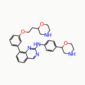 c1cc(OCCC2CNCCO2)cc(-c2cccc3cnc(Nc4ccc(C5CNCCO5)cc4)nc23)c1